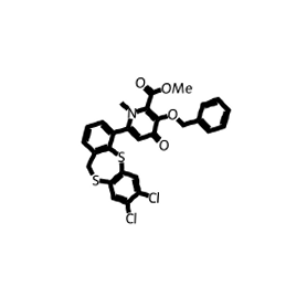 COC(=O)c1c(OCc2ccccc2)c(=O)cc(-c2cccc3c2Sc2cc(Cl)c(Cl)cc2SC3)n1C